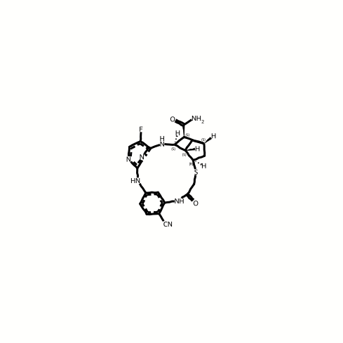 N#Cc1ccc2cc1NC(=O)CS[C@@H]1C[C@@H]3C[C@H]1[C@@H](Nc1nc(ncc1F)N2)[C@H]3C(N)=O